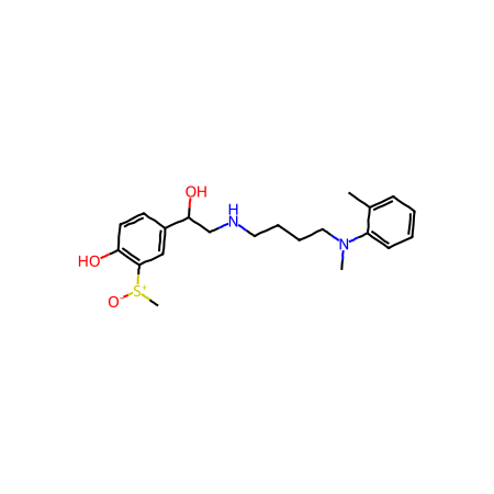 Cc1ccccc1N(C)CCCCNCC(O)c1ccc(O)c([S+](C)[O-])c1